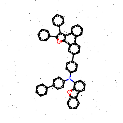 c1ccc(-c2ccc(N(c3ccc(-c4ccc5c6ccccc6c6c(-c7ccccc7)c(-c7ccccc7)oc6c5c4)cc3)c3cccc4c3oc3ccccc34)cc2)cc1